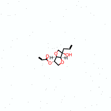 C=CC[C@@]1(O)CO[C@@H]2[C@@H](OC(=O)C=C)CO[C@@H]21